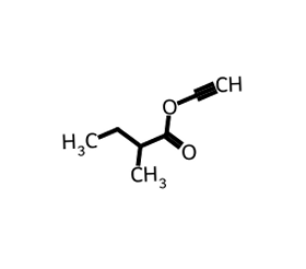 C#COC(=O)C(C)CC